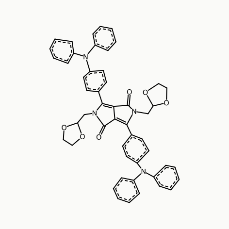 O=C1C2=C(c3ccc(N(c4ccccc4)c4ccccc4)cc3)N(CC3OCCO3)C(=O)C2=C(c2ccc(N(c3ccccc3)c3ccccc3)cc2)N1CC1OCCO1